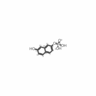 O=P(O)(O)Oc1ccc2ccc(O)cc2c1